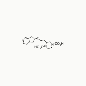 O=C(O)N1CCN(C(=O)O)C(CCOC2Cc3ccccc3C2)C1